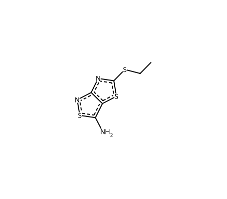 CCSc1nc2nsc(N)c2s1